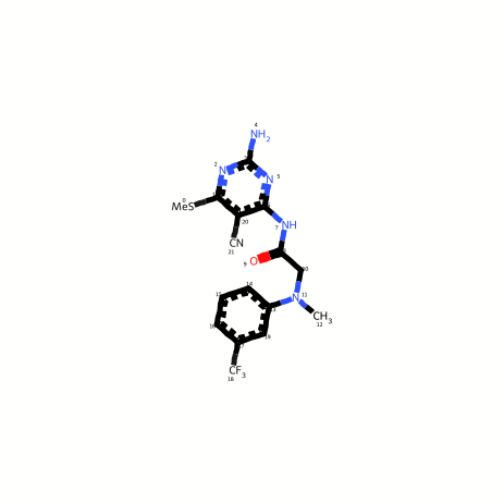 CSc1nc(N)nc(NC(=O)CN(C)c2cccc(C(F)(F)F)c2)c1C#N